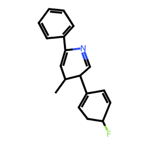 CC1C=C(c2ccccc2)N=CC1C1=CCC(F)C=C1